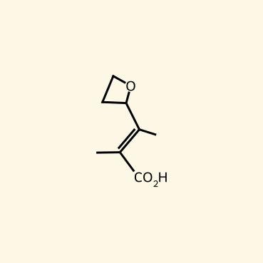 C/C(C(=O)O)=C(/C)C1CCO1